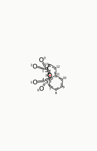 O=S1(=O)OS(=O)(=O)c2cccc3cc1ccc23